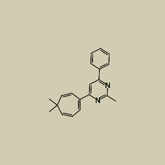 Cc1nc(C2=CC=CC(C)(C)C=C2)cc(-c2ccccc2)n1